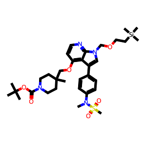 CN(c1ccc(-c2cn(COCC[Si](C)(C)C)c3nccc(OCC4(C)CCN(C(=O)OC(C)(C)C)CC4)c23)cc1)S(C)(=O)=O